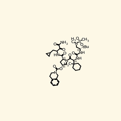 CN(C[C@@H](NC(=O)N[C@H](C(=O)N1C[C@H](OC(=O)N2CCc3ccccc3C2)C[C@H]1C(=O)NC(CC1CC1)C(=O)C(N)=O)C1(C)CCCCC1)C(C)(C)C)S(C)(=O)=O